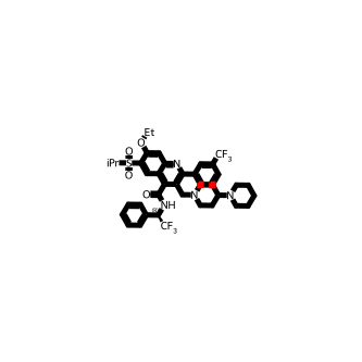 CCOc1cc2nc(-c3cccc(C(F)(F)F)c3)c(CN3CCC(N4CCCCC4)CC3)c(C(=O)N[C@H](c3ccccc3)C(F)(F)F)c2cc1S(=O)(=O)C(C)C